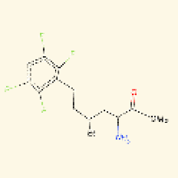 CCC(CCc1c(F)c(F)cc(F)c1F)CC(N)C(=O)OC